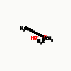 CCCCCCCCCCCCCCCC[O+](CCC)CCC.[OH-]